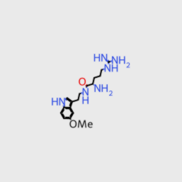 COc1ccc2[nH]cc(CCNC(=O)[C@@H](N)CCCNC(=N)N)c2c1